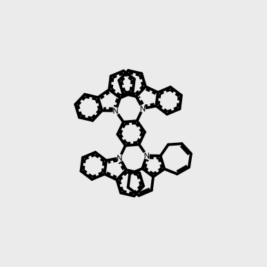 C1=CCc2c(c3c(n2-c2cc(-n4c5ccccc5c5ccccc54)c(-n4c5ccccc5c5ccccc54)cc2-n2c4ccccc4c4ccccc42)CCC=C3)C=C1